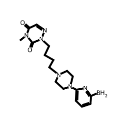 Bc1cccc(N2CCN(CCCCn3ncc(=O)n(C)c3=O)CC2)n1